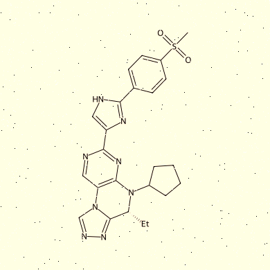 CC[C@@H]1c2nncn2-c2cnc(-c3c[nH]c(-c4ccc(S(C)(=O)=O)cc4)n3)nc2N1C1CCCC1